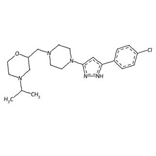 CC(C)N1CCOC(CN2CCN(c3cc(-c4ccc(Cl)cc4)[nH]n3)CC2)C1